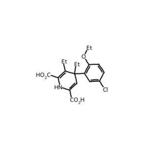 CCOc1ccc(Cl)cc1C1(CC)C=C(C(=O)O)NC(C(=O)O)=C1CC